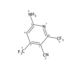 N#Cc1c(C(F)(F)F)cc(N)nc1C(F)(F)F